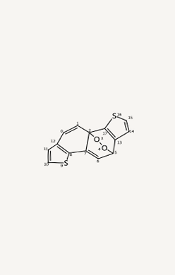 C1=CC23OOC(C=C2c2sccc21)c1ccsc13